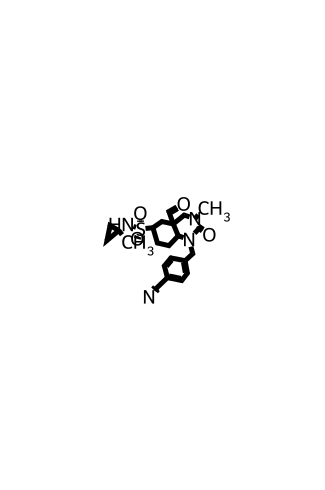 CN1CC2(C=O)CC(S(=O)(=O)NC3(C)CC3)CCC2N(Cc2ccc(C#N)cc2)C1=O